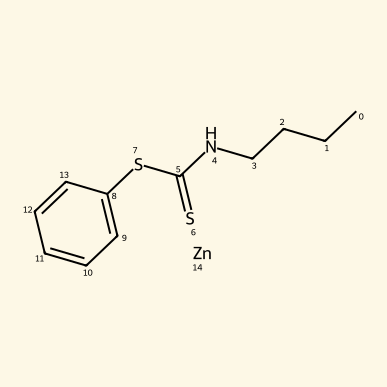 CCCCNC(=S)Sc1ccccc1.[Zn]